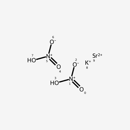 O=[N+]([O-])O.O=[N+]([O-])O.[K+].[Sr+2]